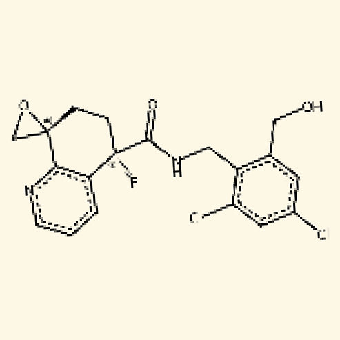 O=C(NCc1c(Cl)cc(Cl)cc1CO)[C@]1(F)CC[C@]2(CO2)c2ncccc21